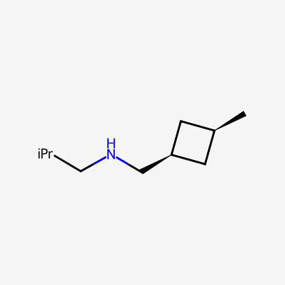 CC(C)CNC[C@H]1C[C@@H](C)C1